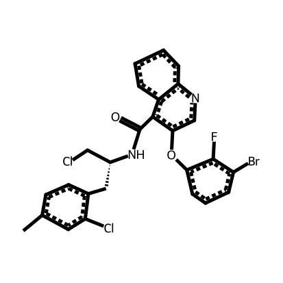 Cc1ccc(C[C@H](CCl)NC(=O)c2c(Oc3cccc(Br)c3F)cnc3ccccc23)c(Cl)c1